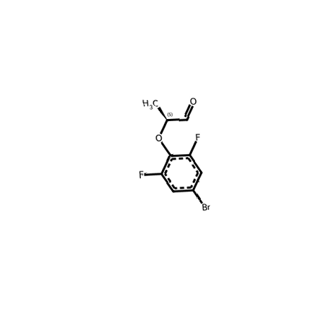 C[C@@H](C=O)Oc1c(F)cc(Br)cc1F